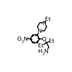 CCN1CCN(c2cc([N+](=O)[O-])ccc2OC(CC)(CC)CN)CC1